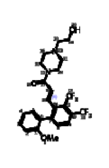 COc1ccccc1-c1c[c]c(C(F)(F)F)c(C(F)(F)F)c1/C=C/C(=O)N1CCN(CCO)CC1